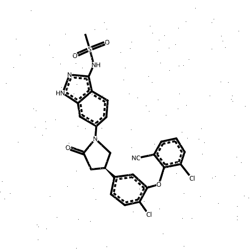 CS(=O)(=O)Nc1n[nH]c2cc(N3C[C@@H](c4ccc(Cl)c(Oc5c(Cl)cccc5C#N)c4)CC3=O)ccc12